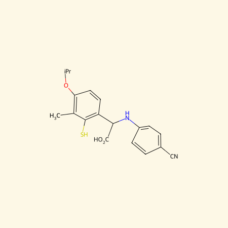 Cc1c(OC(C)C)ccc(C(Nc2ccc(C#N)cc2)C(=O)O)c1S